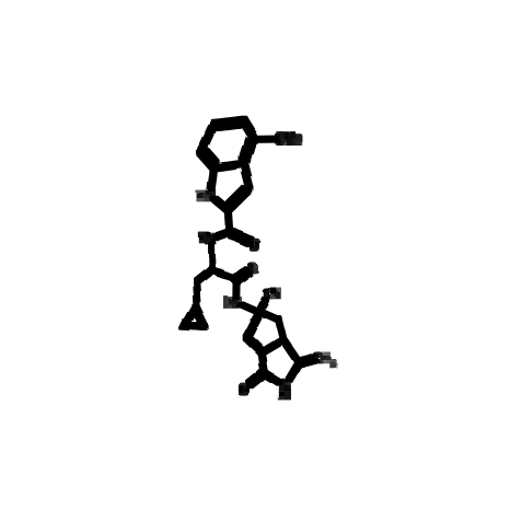 C=C1NC(=O)C2CC(C#N)(NC(=O)C(CC3CC3)NC(=O)c3cc4c(OC)cccc4[nH]3)CC12